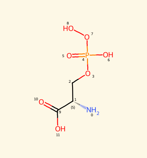 N[C@@H](COP(=O)(O)OO)C(=O)O